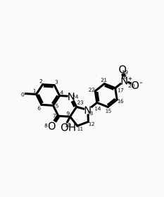 Cc1ccc2c(c1)C(=O)C1(O)CCN(c3ccc([N+](=O)[O-])cc3)C1=N2